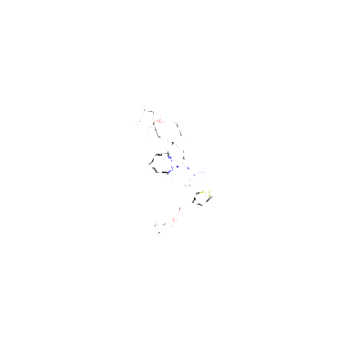 c1ccc(C2(CCNCc3sccc3COC3CC3)CCOC3(CCCC3)C2)nc1